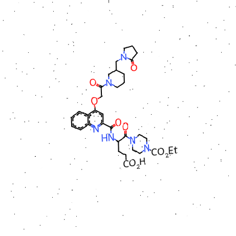 CCOC(=O)N1CCN(C(=O)C(CCC(=O)O)NC(=O)c2cc(OCC(=O)N3CCCC(CN4CCCC4=O)C3)c3ccccc3n2)CC1